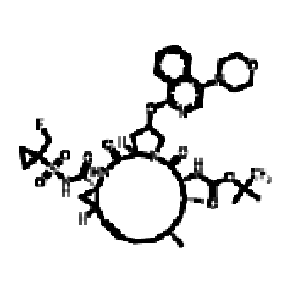 C[C@H]1CC/C=C\[C@@H]2C[C@@]2(C(=O)NS(=O)(=O)C2(CF)CC2)NC(=O)[C@@H]2C[C@@H](Oc3ncc(N4CCOCC4)c4ccccc34)CN2C(=O)[C@@H](NC(=O)OC(C)(C)C(F)(F)F)[C@H](C)C1